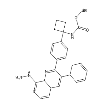 CC(C)(C)OC(=O)NC1(c2ccc(C3=NC4C(NN)=NC=CC4C=C3C3C=CC=CC3)cc2)CCC1